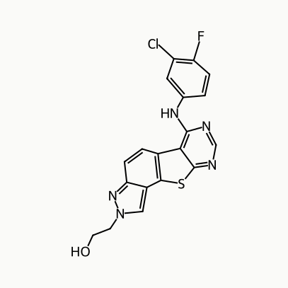 OCCn1cc2c(ccc3c2sc2ncnc(Nc4ccc(F)c(Cl)c4)c23)n1